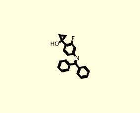 OC1(c2ccc(N=C(c3ccccc3)c3ccccc3)cc2F)CC1